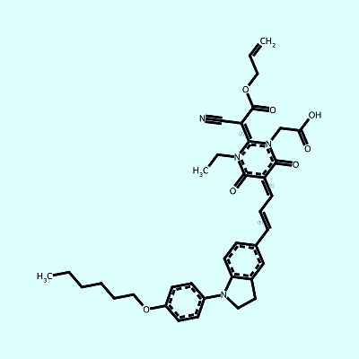 C=CCOC(=O)/C(C#N)=c1/n(CC)c(=O)/c(=C\C=C\c2ccc3c(c2)CCN3c2ccc(OCCCCCC)cc2)c(=O)n1CC(=O)O